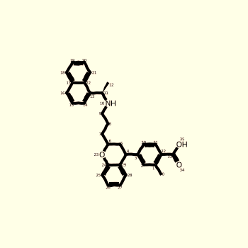 Cc1cc(C2CC(CCCN[C@H](C)c3cccc4ccccc34)Oc3ccccc32)ccc1C(=O)O